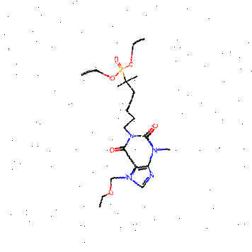 CCOCn1cnc2c1c(=O)n(CCCCC(C)(C)P(=O)(OCC)OCC)c(=O)n2C